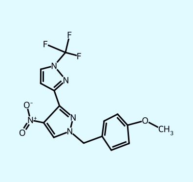 COc1ccc(Cn2cc([N+](=O)[O-])c(-c3ccn(C(F)(F)F)n3)n2)cc1